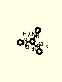 Cn1c(-c2cc(-c3nc4ccccc4n3C)cc(-c3nc4ccccc4n3C)c2)nc2ccccc21